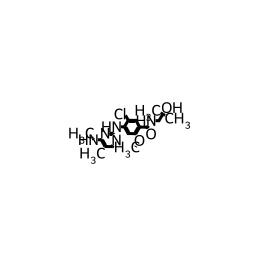 CNc1nc(Nc2cc(OC)c(C(=O)NCC(C)(C)O)cc2Cl)ncc1C